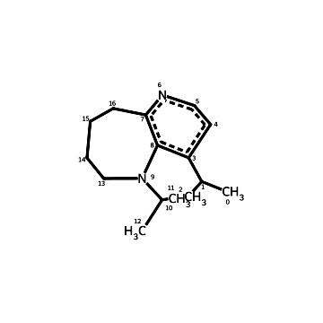 CC(C)c1ccnc2c1N(C(C)C)CCCC2